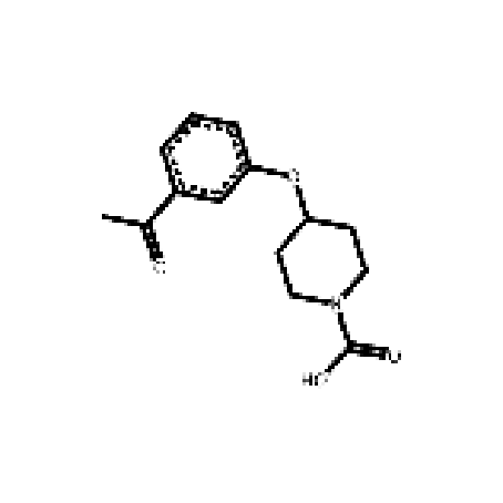 CC(=O)c1cccc(OC2CCN(C(=O)O)CC2)c1